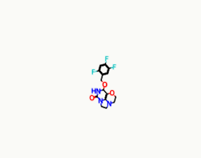 O=C1NC(OCc2cc(F)c(F)cc2F)C2=C3N(CCO2)CCN13